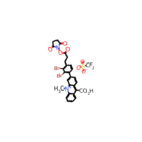 C[n+]1c2ccccc2c(C(=O)O)c2ccc(-c3ccc(CCC(=O)ON4C(=O)CCC4=O)c(Br)c3Br)cc21.O=S(=O)([O-])C(F)(F)F